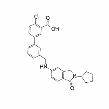 O=C(O)c1cc(-c2cccc(CNc3ccc4c(c3)CN(C3CCCC3)C4=O)c2)ccc1Cl